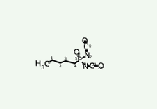 CCCCCP(=O)(N=C=O)N=C=O